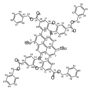 CC(C)(C)c1cc2c3c(cc4c(C(C)(C)C)cc5c6c(cc1c3c46)B1c3ccc(C(=O)OCc4ccccc4)cc3Oc3cc(C(=O)OCc4ccccc4)cc-5c31)B1c3ccc(C(=O)OCc4ccccc4)cc3Oc3cc(C(=O)OCc4ccccc4)cc-2c31